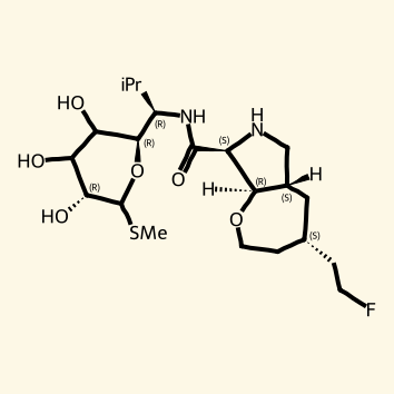 CSC1O[C@H]([C@H](NC(=O)[C@H]2NC[C@@H]3C[C@H](CCF)CCO[C@H]32)C(C)C)C(O)C(O)[C@H]1O